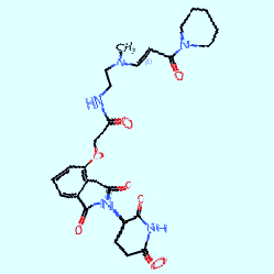 CN(/C=C/C(=O)N1CCCCC1)CCNC(=O)COc1cccc2c1C(=O)N(C1CCC(=O)NC1=O)C2=O